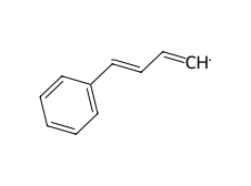 [CH]=CC=[C]c1ccccc1